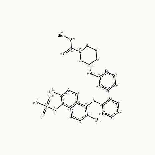 CCCS(=O)(=O)Nc1c(C)ccc2c(Oc3ncccc3-c3ccnc(N[C@H]4CCCN(C(=O)OC(C)(C)C)C4)n3)c(C)ccc12